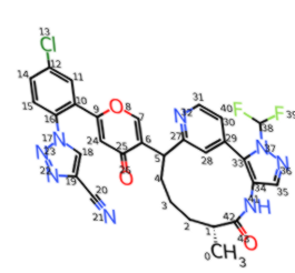 C[C@@H]1CCCC(c2coc(-c3cc(Cl)ccc3-n3cc(C#N)nn3)cc2=O)c2cc(ccn2)-c2c(cnn2C(F)F)NC1=O